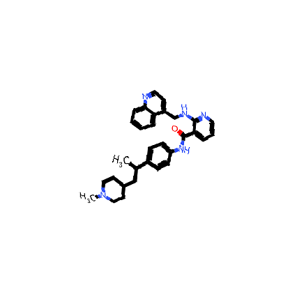 CC(CC1CCN(C)CC1)c1ccc(NC(=O)c2cccnc2NCc2ccnc3ccccc23)cc1